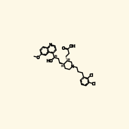 COc1ccc2nccc([C@H](O)CC[C@@H]3CCN(CCCc4cccc(Cl)c4Cl)C[C@H]3CCC(=O)O)c2c1